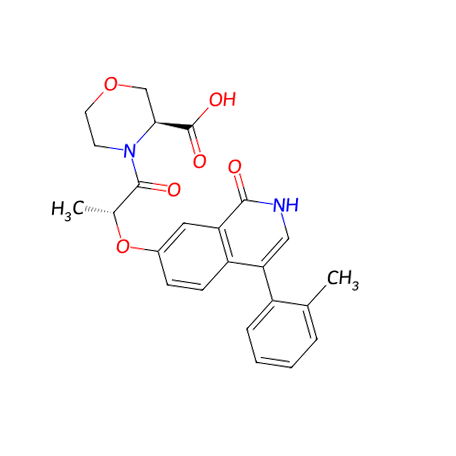 Cc1ccccc1-c1c[nH]c(=O)c2cc(O[C@H](C)C(=O)N3CCOC[C@H]3C(=O)O)ccc12